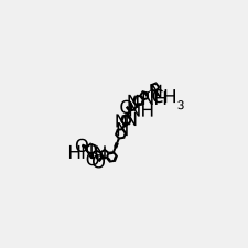 CN1CCC[C@@H]1c1cc2cnc(NC(=O)c3cnc(N4CCC(C#Cc5cccc6c5CN(C5CCC(=O)NC5=O)C6=O)CC4)cn3)cc2[nH]1